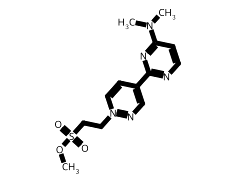 COS(=O)(=O)CC[n+]1ccc(-c2nccc(N(C)C)n2)cn1